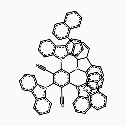 N#Cc1c(-n2c3ccccc3c3ccccc32)c(C#N)c(-n2c3ccccc3c3ccccc32)c(N2c3c(ccc4c3sc3ccccc34)C3C=CC(c4cccc5ccccc45)=CC32)c1-n1c2ccccc2c2ccccc21